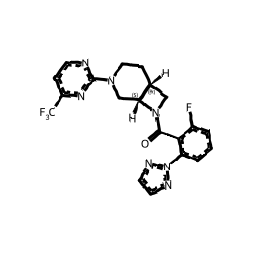 O=C(c1c(F)cccc1-n1nccn1)N1C[C@H]2CCN(c3nccc(C(F)(F)F)n3)C[C@H]21